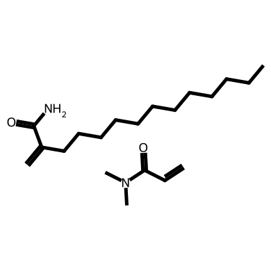 C=C(CCCCCCCCCCCC)C(N)=O.C=CC(=O)N(C)C